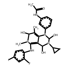 CC(=O)Nc1cccc(N2C3=C(C)C(O)N(C)C(Nc4ccc(I)cc4F)=C3C(O)N(C3CC3)C2O)c1